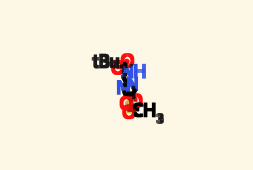 CC(C)(C)OC(=O)NCc1ncc(OS(C)(=O)=O)cn1